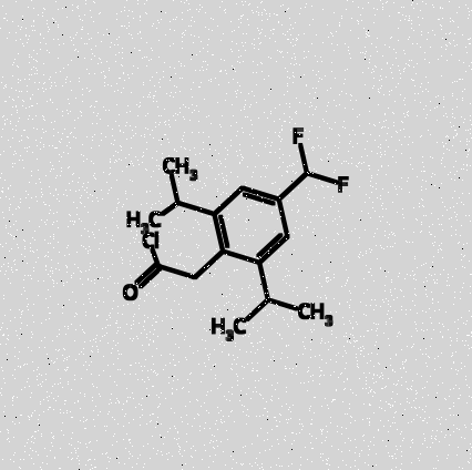 CC(C)c1cc(C(F)F)cc(C(C)C)c1CC(=O)Cl